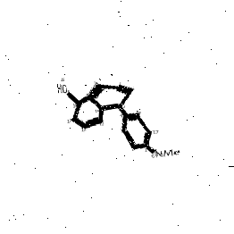 CNc1ccc(-c2cccc3c2C=CCC3O)cc1